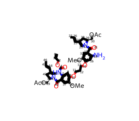 C=CCOC(=O)Nc1cc(OCCCOc2cc(N)c(C(=O)N3C=C(C=CC)C[C@H]3COC(C)=O)cc2OC)c(OC)cc1C(=O)N1C=C(C=CC)C[C@H]1COC(C)=O